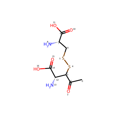 CC(=O)C(SSC[C@H](N)C(=O)O)[C@H](N)C(=O)O